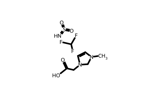 CN1C=CN(CC(=O)O)C1.FC(F)F.N=S(=O)=O